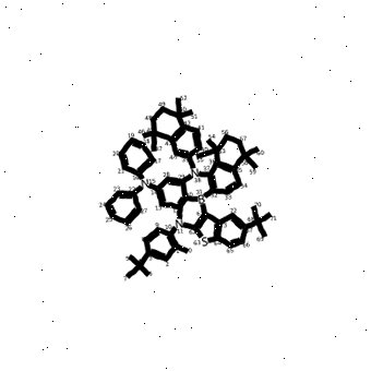 Cc1cc(C(C)(C)C)ccc1N1c2cc(N(c3ccccc3)c3ccccc3)cc3c2B(c2ccc4c(c2N3c2ccc3c(c2)C(C)(C)CCC3(C)C)C(C)(C)CCC4(C)C)c2c1sc1ccc(C(C)(C)C)cc21